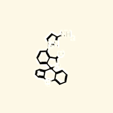 Nc1ccn(-c2cccc3c2C(=O)OC32c3ccccc3Oc3ccccc32)n1